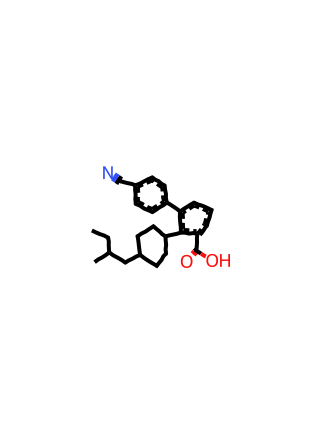 CCC(C)CC1CCC(c2c(C(=O)O)cccc2-c2ccc(C#N)cc2)CC1